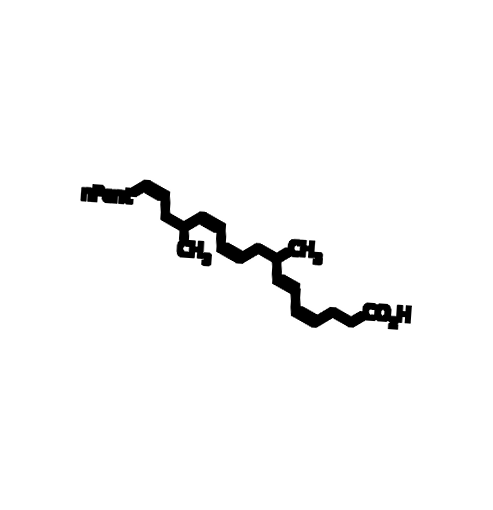 CCCCC/C=C\CC(C)/C=C\C=C/CC(C)/C=C/C=C\CCC(=O)O